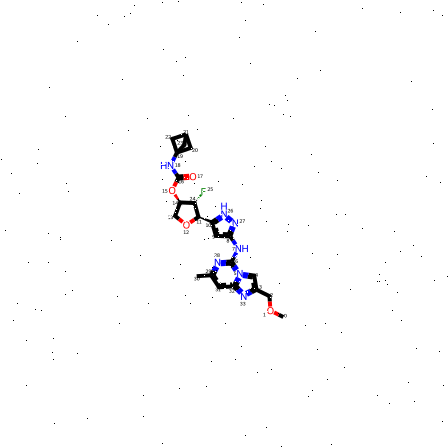 COCc1cn2c(Nc3cc([C@H]4OC[C@@H](OC(=O)NC56CC(C5)C6)[C@@H]4F)[nH]n3)nc(C)cc2n1